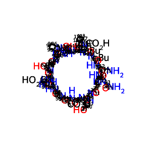 CCCC[C@H]1C(=O)N(C)[C@@H](CCCC)C(=O)N[C@@H](CCCN)C(=O)N[C@H](C(=O)NCC(N)=O)CSCC(=O)N[C@@H](Cc2ccc(O)cc2)C(=O)N(C)[C@@H](C)C(=O)N[C@@H](CC(=O)O)C(=O)N2CCC[C@H]2C(=O)N[C@@H](Cc2cnc[nH]2)C(=O)N[C@@H](CCC(=O)O)C(=O)N2C[C@H](O)C[C@H]2C(=O)N[C@@H](Cc2c[nH]c3ccccc23)C(=O)N[C@@H](CO)C(=O)N[C@@H](Cc2cn(CC(=O)O)c3ccccc23)C(=O)N1C